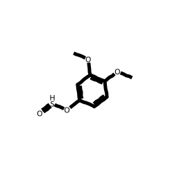 COc1ccc(O[SH]=O)cc1OC